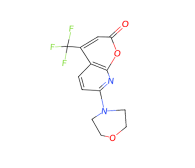 O=c1cc(C(F)(F)F)c2ccc(N3CCOCC3)nc2o1